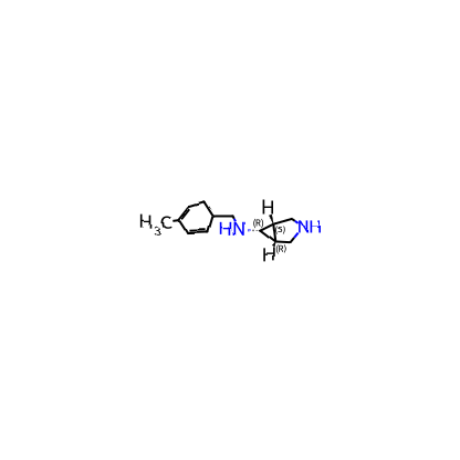 CC1=CCC(CN[C@@H]2[C@@H]3CNC[C@@H]32)C=C1